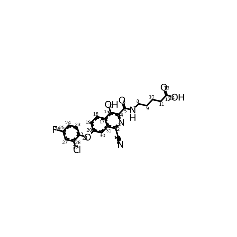 N#Cc1nc(C(=O)NCCCCC(=O)O)c(O)c2ccc(Oc3ccc(F)cc3Cl)cc12